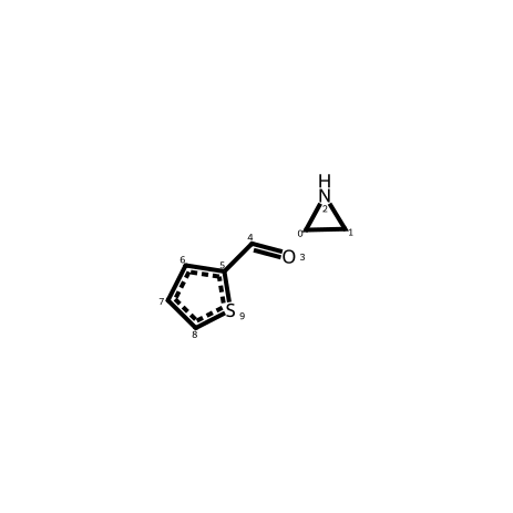 C1CN1.O=Cc1cccs1